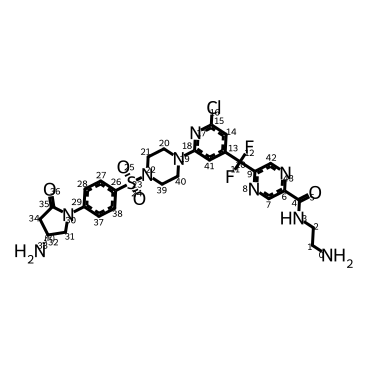 NCCNC(=O)c1cnc(C(F)(F)c2cc(Cl)nc(N3CCN(S(=O)(=O)c4ccc(N5C[C@H](N)CC5=O)cc4)CC3)c2)cn1